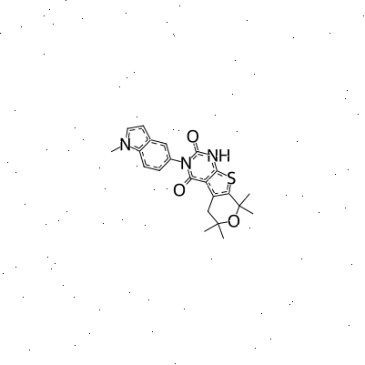 Cn1ccc2cc(-n3c(=O)[nH]c4sc5c(c4c3=O)CC(C)(C)OC5(C)C)ccc21